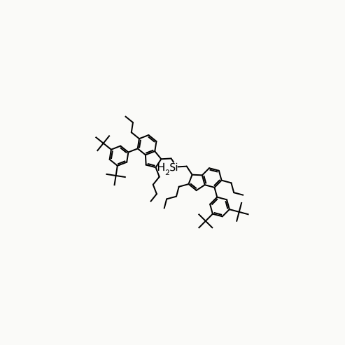 CCCCC1=Cc2c(ccc(CCC)c2-c2cc(C(C)(C)C)cc(C(C)(C)C)c2)C1C[SiH2]CC1C(CCCC)=Cc2c1ccc(CCC)c2-c1cc(C(C)(C)C)cc(C(C)(C)C)c1